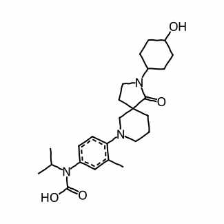 Cc1cc(N(C(=O)O)C(C)C)ccc1N1CCCC2(CCN(C3CCC(O)CC3)C2=O)C1